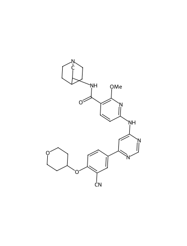 COc1nc(Nc2cc(-c3ccc(OC4CCOCC4)c(C#N)c3)ncn2)ccc1C(=O)NC1CN2CCC1CC2